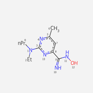 CCCN(CC)c1nc(C)cc(C(=N)NO)n1